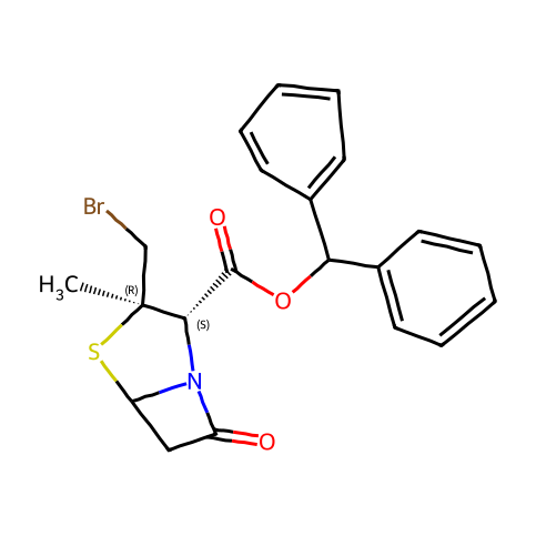 C[C@@]1(CBr)SC2CC(=O)N2[C@H]1C(=O)OC(c1ccccc1)c1ccccc1